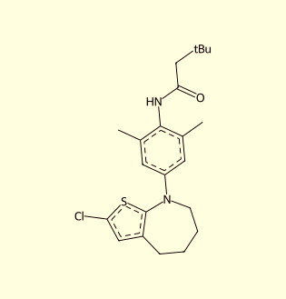 Cc1cc(N2CCCCc3cc(Cl)sc32)cc(C)c1NC(=O)CC(C)(C)C